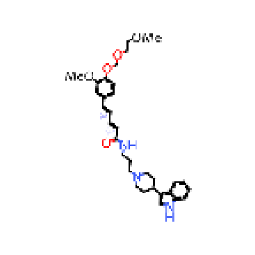 COCCOCOc1ccc(/C=C/C=C/C(=O)NCCCN2CCC(c3c[nH]c4ccccc34)CC2)cc1OC